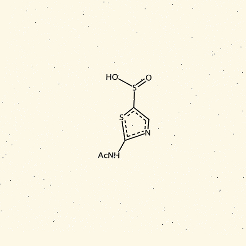 CC(=O)Nc1ncc(S(=O)O)s1